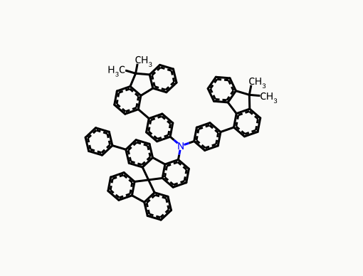 CC1(C)c2ccccc2-c2c(-c3ccc(N(c4ccc(-c5cccc6c5-c5ccccc5C6(C)C)cc4)c4cccc5c4-c4ccc(-c6ccccc6)cc4C54c5ccccc5-c5ccccc54)cc3)cccc21